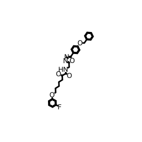 O=C(CCCCCOc1cccc(F)c1)C(=O)NCc1nnc(-c2ccc(OCc3ccccc3)cc2)o1